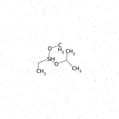 CC[SiH](OC)OC(C)C